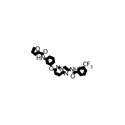 O=C(Nc1cn2nc(Oc3cccc(NC(=O)c4ccco4)c3)ccc2n1)c1cccc(C(F)(F)F)c1